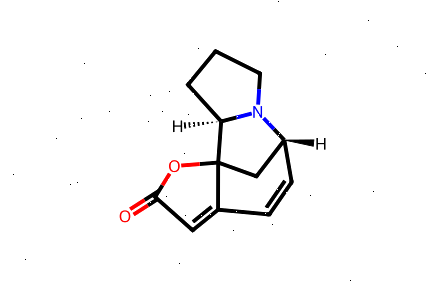 O=C1C=C2C=C[C@@H]3CC2(O1)[C@H]1CCCN31